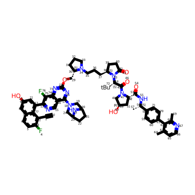 C#Cc1c(F)ccc2cc(O)cc(-c3ncc4c(N5CC6CCC(C5)N6)nc(OC[C@@H]5CCCN5CCC[C@H]5CCC(=O)N5[C@H](C(=O)N5C[C@H](O)C[C@H]5C(=O)N[C@@H](C)c5ccc(-c6c(C)ccnc6C)cc5)C(C)(C)C)nc4c3F)c12